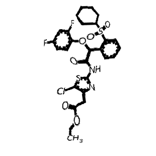 CCOC(=O)Cc1nc(NC(=O)C(Oc2ccc(F)cc2F)c2ccccc2S(=O)(=O)C2CCCCC2)sc1Cl